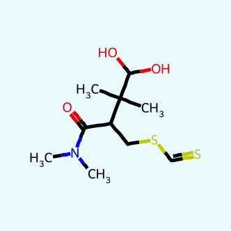 CN(C)C(=O)C(CSC=S)C(C)(C)C(O)O